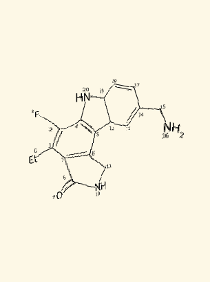 CCc1c(F)c2c(c3c1C(=O)NC3)C1C=C(CN)C=CC1N2